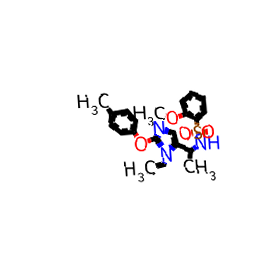 CCn1c(C(C)NS(=O)(=O)c2ccccc2OC)cnc1Oc1ccc(C)cc1